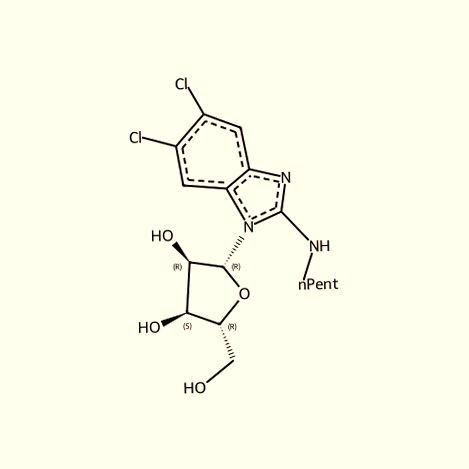 CCCCCNc1nc2cc(Cl)c(Cl)cc2n1[C@@H]1O[C@H](CO)[C@@H](O)[C@H]1O